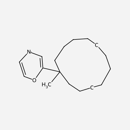 CC1(C2=C[N]C=CO2)CCCCCCCCCCC1